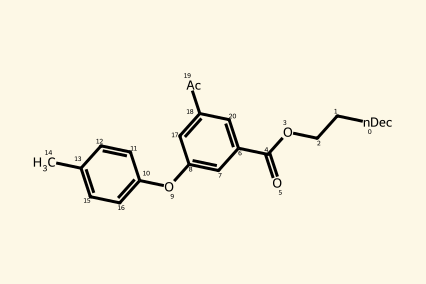 CCCCCCCCCCCCOC(=O)c1cc(Oc2ccc(C)cc2)cc(C(C)=O)c1